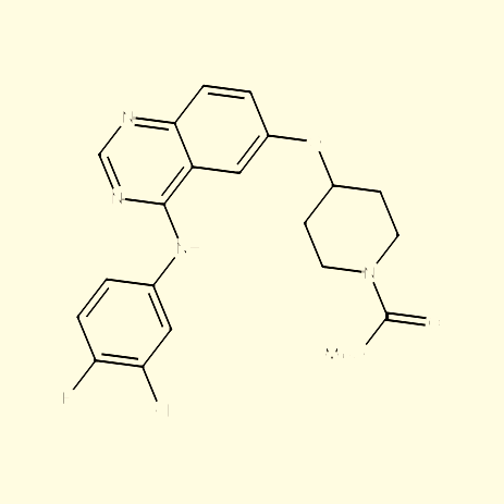 COC(=O)N1CCC(Oc2ccc3ncnc(Nc4ccc(F)c(Cl)c4)c3c2)CC1